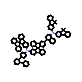 CC1(C)c2ccccc2-c2ccc(N(c3ccc4c(c3)C(C)(C)c3ccccc3-4)c3ccc(-c4ccc5c(c4)-c4ccccc4C54c5ccccc5-c5ccc(N(c6ccc(-c7ccccc7-c7ccccc7)cc6)c6ccc7c(c6)C6(c8ccccc8-c8ccccc86)c6ccccc6-7)cc54)c4ccccc34)cc21